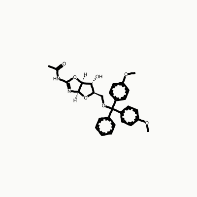 COc1ccc(C(OC[C@H]2O[C@H]3N=C(NC(C)=O)O[C@H]3[C@@H]2O)(c2ccccc2)c2ccc(OC)cc2)cc1